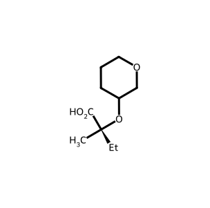 CC[C@](C)(OC1CCCOC1)C(=O)O